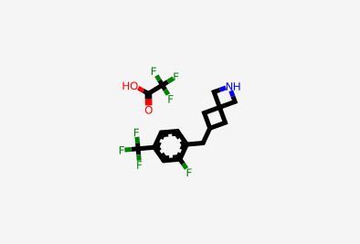 Fc1cc(C(F)(F)F)ccc1CC1CC2(CNC2)C1.O=C(O)C(F)(F)F